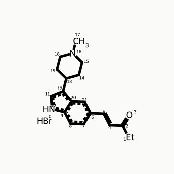 Br.CCC(=O)C=Cc1ccc2[nH]cc(C3CCN(C)CC3)c2c1